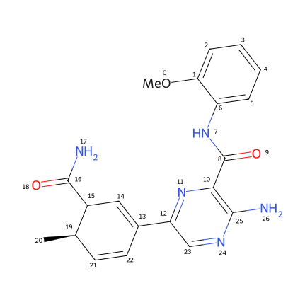 COc1ccccc1NC(=O)c1nc(C2=CC(C(N)=O)[C@H](C)C=C2)cnc1N